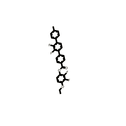 CCOc1ccc(OC(=O)c2ccc(-c3ccc(-c4ccc(C)cc4)c(F)c3F)cc2)c(F)c1F